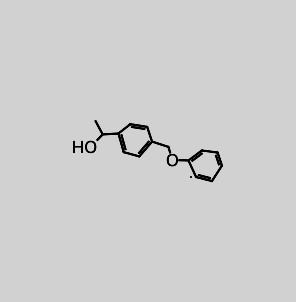 CC(O)c1ccc(COc2[c]cccc2)cc1